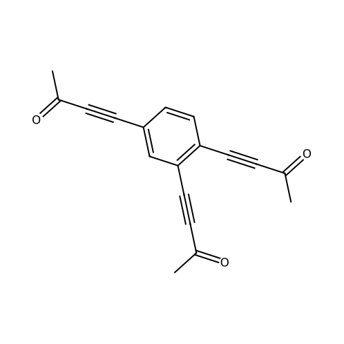 CC(=O)C#Cc1ccc(C#CC(C)=O)c(C#CC(C)=O)c1